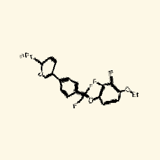 CCCC1CCC(c2ccc(C(F)(F)Oc3ccc(OCC)c(F)c3F)cc2)=CO1